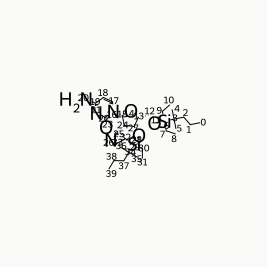 CCCC(C)(C)[Si](CC)(CC)OC[C@H]1O[C@@H](n2ccc(N)nc2=O)[C@@H](C#N)[C@@H]1O[Si](CC)(CC)C(C)(C)CCC